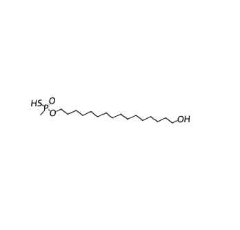 CP(=O)(S)OCCCCCCCCCCCCCCCCO